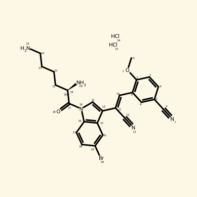 COc1ccc(C#N)cc1C=C(C#N)c1cn(C(=O)[C@H](N)CCCCN)c2ccc(Br)cc12.Cl.Cl